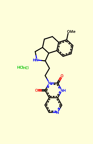 COc1cccc2c1CCC1CNC(CCn3c(=O)[nH]c4cnccc4c3=O)C21.Cl.Cl